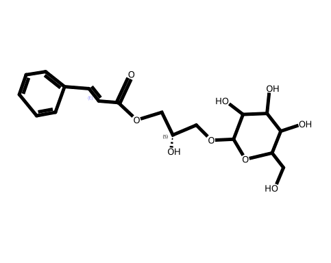 O=C(/C=C/c1ccccc1)OC[C@@H](O)COC1OC(CO)C(O)C(O)C1O